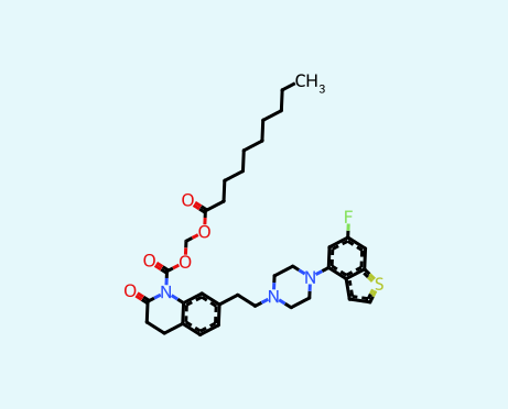 CCCCCCCCCC(=O)OCOC(=O)N1C(=O)CCc2ccc(CCN3CCN(c4cc(F)cc5sccc45)CC3)cc21